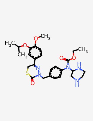 CCOC(=O)N(c1ccc(CN2N=C(c3ccc(OC)c(OC(C)C)c3)CSC2=O)cc1)C1CNCCN1